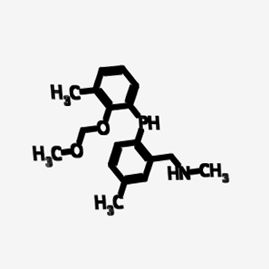 CNCc1cc(C)ccc1Pc1cccc(C)c1OCOC